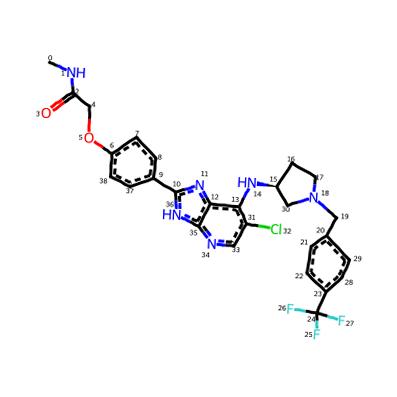 CNC(=O)COc1ccc(-c2nc3c(N[C@H]4CCN(Cc5ccc(C(F)(F)F)cc5)C4)c(Cl)cnc3[nH]2)cc1